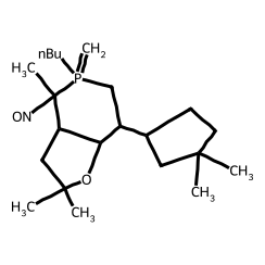 C=P1(CCCC)CC(C2CCC(C)(C)C2)C2OC(C)(C)CC2C1(C)N=O